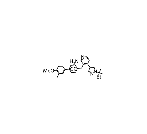 CCC(C)(C)n1cc(-c2ccnc(N)c2CC23CCC(c4ccc(OC)c(C)c4)(CC2)CC3)cn1